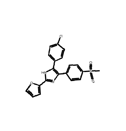 CS(=O)(=O)c1ccc(-c2nc(-c3ccco3)[nH]c2-c2ccc(Cl)cc2)cc1